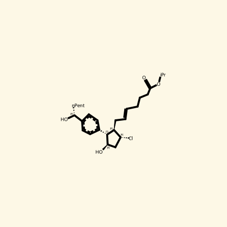 CCCCC[C@@H](O)c1ccc([C@@H]2[C@@H](CC=CCCCC(=O)OC(C)C)[C@H](Cl)C[C@H]2O)cc1